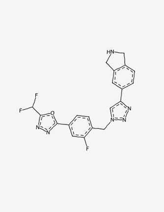 Fc1cc(-c2nnc(C(F)F)o2)ccc1Cn1cc(-c2ccc3c(c2)CNC3)nn1